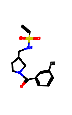 C=CS(=O)(=O)NCC1CCN(C(=O)c2cccc(C#N)c2)C1